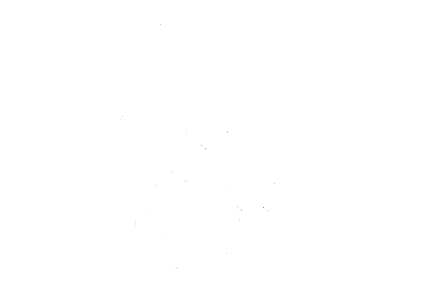 CC(=O)c1cc(Cl)cc2c1S(=O)(=O)N([C@H](c1n[nH]c(=O)o1)C(C)c1c(F)ccc(C)c1C)CO2